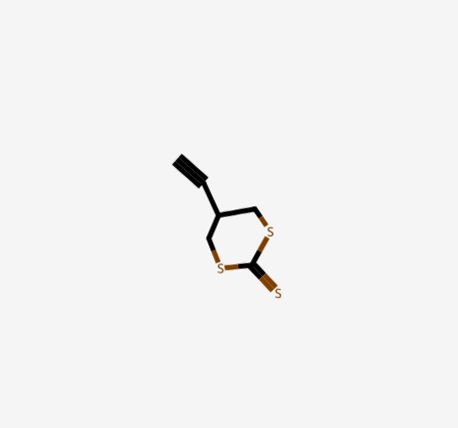 C#CC1CSC(=S)SC1